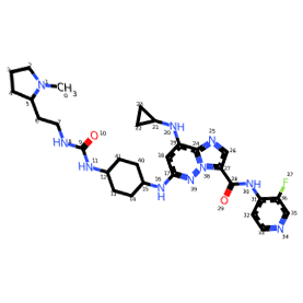 CN1CCCC1CCNC(=O)NC1CCC(Nc2cc(NC3CC3)c3ncc(C(=O)Nc4ccncc4F)n3n2)CC1